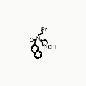 CC(C)CCN(C(=O)c1ccc2ccccc2c1)[C@@H]1CCNC1.Cl